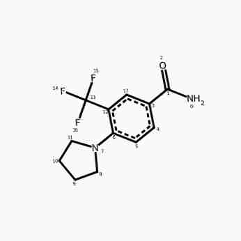 NC(=O)c1ccc(N2CCCC2)c(C(F)(F)F)c1